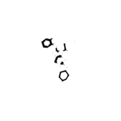 C[C@H](CO)n1c(Nc2ccccc2F)nc2cnc(N[C@H]3CC[C@H](O)CC3)nc21